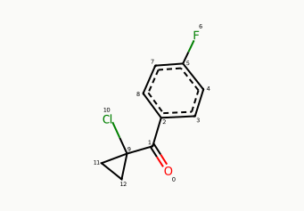 O=C(c1ccc(F)cc1)C1(Cl)CC1